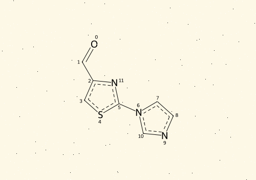 O=Cc1csc(-n2ccnc2)n1